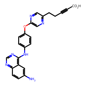 Nc1ccc2ncnc(Nc3ccc(Oc4cnc(CCC#CC(=O)O)cn4)cc3)c2c1